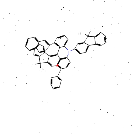 CC1(C)c2ccccc2-c2ccc(N(c3ccc(-c4ccccc4)cc3)c3cccc(-c4ccc5ccccc5c4)c3-c3cccc4c3-c3ccccc3C4(C)C)cc21